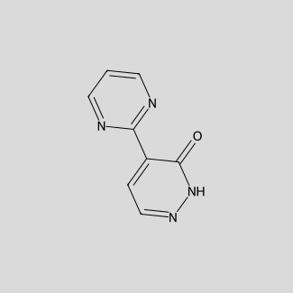 O=c1[nH]nccc1-c1ncccn1